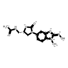 CC(=O)NC[C@H]1CN(c2ccc3c(c2)oc(=NO)n3C)C(=O)O1